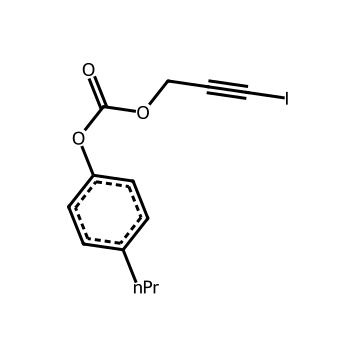 CCCc1ccc(OC(=O)OCC#CI)cc1